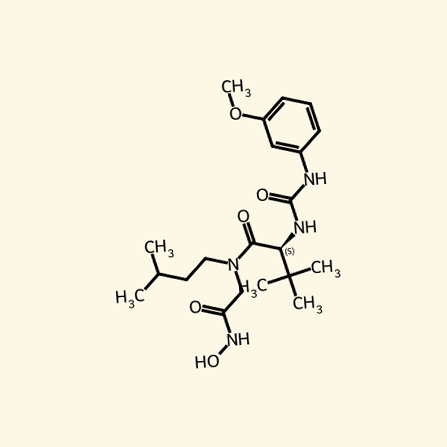 COc1cccc(NC(=O)N[C@H](C(=O)N(CCC(C)C)CC(=O)NO)C(C)(C)C)c1